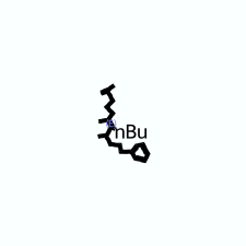 C=C(C)CCC/C(C)=C(\CCCC)C(C)CCCc1ccccc1